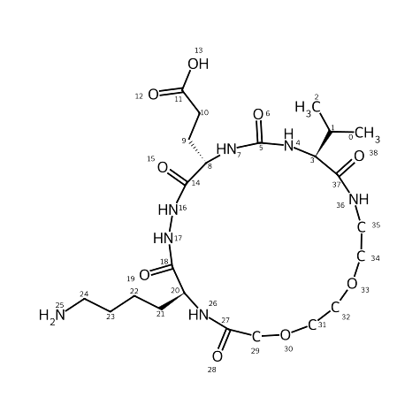 CC(C)[C@@H]1NC(=O)N[C@@H](CCC(=O)O)C(=O)NNC(=O)[C@H](CCCCN)NC(=O)COCCOCCNC1=O